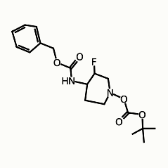 CC(C)(C)OC(=O)ON1CCC(NC(=O)OCc2ccccc2)C(F)C1